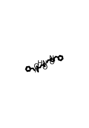 CN(CCc1ccccc1)C(=O)CCC(=O)NCCc1nc(Cc2ccccc2)co1